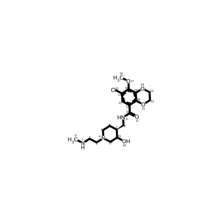 CNCCN1CC[C@@H](CNC(=O)c2cc(Cl)c(OC)c3c2OCCO3)C(O)C1